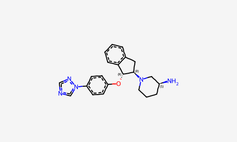 N[C@H]1CCCN([C@@H]2Cc3ccccc3[C@H]2Oc2ccc(-n3cncn3)cc2)C1